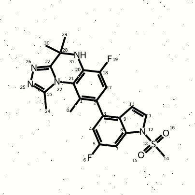 Cc1c(-c2cc(F)cc3c2ccn3S(C)(=O)=O)cc(F)c2c1-n1c(C)nnc1C(C)(C)N2